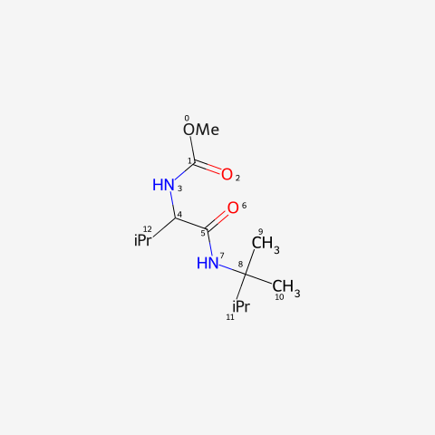 COC(=O)NC(C(=O)NC(C)(C)C(C)C)C(C)C